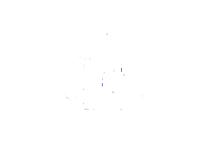 C=C(Nc1ccc(Cl)c(Cl)c1)C1C2OC(CC2C)C1c1ccnc(C)c1